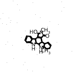 CN1C(=O)C2=C(C3c4ccccc4NC3C3NC4(C)CCC=CC4C23)C1O